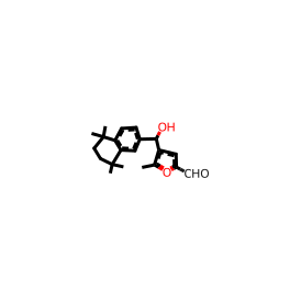 Cc1oc(C=O)cc1C(O)c1ccc2c(c1)C(C)(C)CCC2(C)C